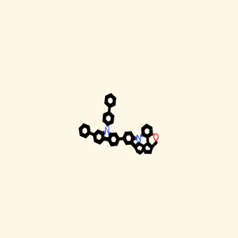 C1=Cc2c3n(c4ccc(-c5ccc6c7ccc(-c8ccccc8)cc7n(-c7ccc(-c8ccccc8)cc7)c6c5)cc24)-c2cccc4c2C2=C(C=CC23C1)CO4